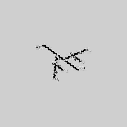 CCCCCCCC/C=C\CCCCCCCCN(CCCCN(CCCCCCCC/C=C\CCCCCCCC)CC(O)CNC(=O)C(CCCNCCCN)NCCCN)CC(O)CNC(=O)C(CCCNCCCN)NCCCN